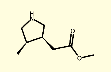 COC(=O)C[C@@H]1CNC[C@@H]1C